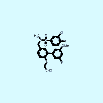 COc1cc(F)cc(-c2cc(CN(C)S(=O)(=O)c3ccc(F)c(Cl)c3)ccc2OCC=O)c1